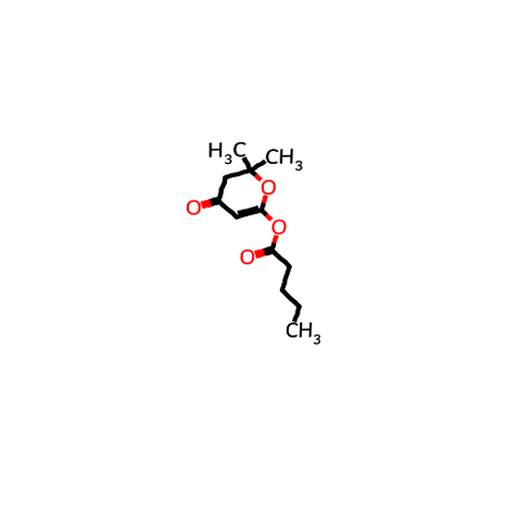 CCCCC(=O)OC1=CC(=O)CC(C)(C)O1